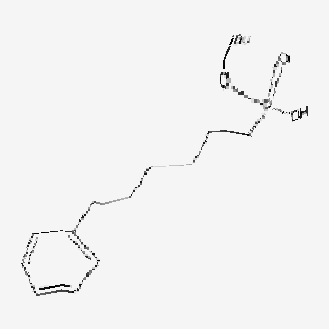 CCC(C)OP(=O)(O)CCCCCCc1ccccc1